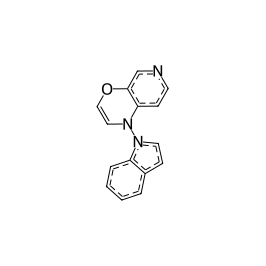 C1=CN(n2ccc3ccccc32)c2ccncc2O1